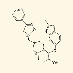 Cc1nc2cc(OC(C(C)O)N3CCN(C[C@H]4CC(c5ccccc5)=NO4)C[C@@H]3C)ccc2s1